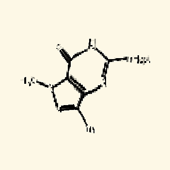 CCCCCCCc1nc2c(CCC)nn(C)c2c(=O)[nH]1